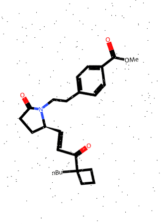 CCCCC1(C(=O)/C=C/[C@H]2CCC(=O)N2CCc2ccc(C(=O)OC)cc2)CCC1